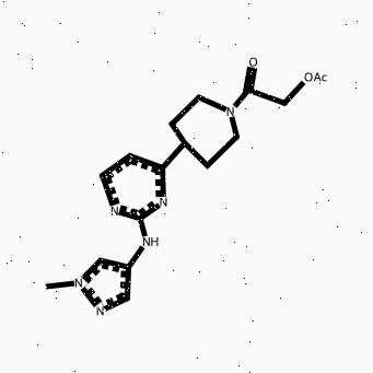 CC(=O)OCC(=O)N1CCC(c2ccnc(Nc3cnn(C)c3)n2)CC1